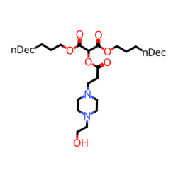 CCCCCCCCCCCCCOC(=O)C(OC(=O)CCN1CCN(CCO)CC1)C(=O)OCCCCCCCCCCCCC